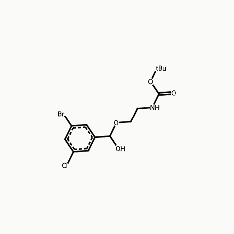 CC(C)(C)OC(=O)NCCOC(O)c1cc(Cl)cc(Br)c1